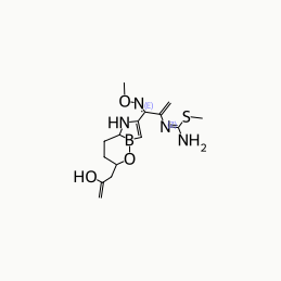 C=C(O)CC1CCC2NC(/C(=N\OC)C(=C)/N=C(/N)SC)=CB2O1